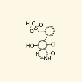 CS(=O)(=O)Cc1ccccc1-c1cc(O)c2nc[nH]c(=O)c2c1Cl